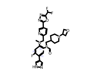 C\C=C(/C(F)=C\C(=C\N(C=O)CC1CCN(C2COC2)CC1)N(C)Cc1ccc(-c2nnc(C(F)F)o2)cn1)c1cn[nH]c1